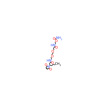 CCCCC(CC(=O)NCCOCCOCCC(=O)NCCOC(N)=O)N1C(=O)C=CC1=O